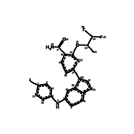 Cc1ccc(Nc2ccc3ncn(-c4ccc(C(N)=O)c(OC(C)C(F)F)n4)c3c2)nn1